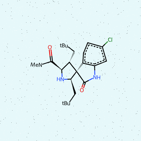 CNC(=O)[C@@H]1N[C@H](CC(C)(C)C)[C@]2(C(=O)Nc3cc(Cl)ccc32)[C@H]1CC(C)(C)C